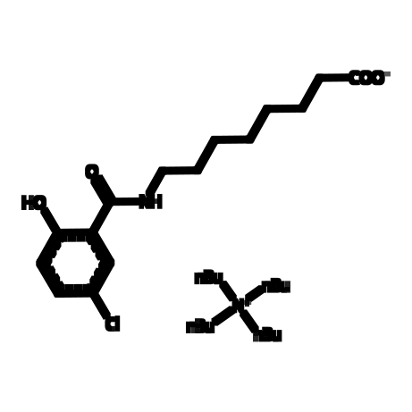 CCCC[N+](CCCC)(CCCC)CCCC.O=C([O-])CCCCCCCNC(=O)c1cc(Cl)ccc1O